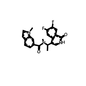 CC(c1c[nH]c(=O)c2cc(F)c(F)cc12)N(C)C(=O)c1ccc2ccn(C)c2c1